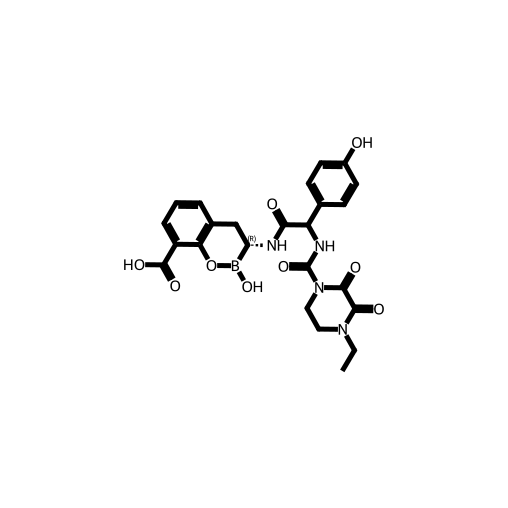 CCN1CCN(C(=O)NC(C(=O)N[C@H]2Cc3cccc(C(=O)O)c3OB2O)c2ccc(O)cc2)C(=O)C1=O